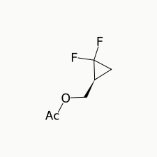 CC(=O)OC[C@@H]1CC1(F)F